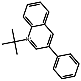 CC(C)(C)[n+]1cc(-c2ccccc2)cc2ccccc21